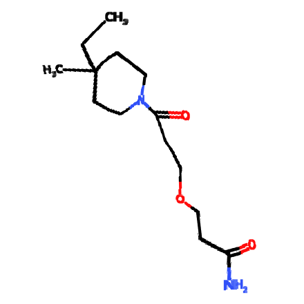 CCC1(C)CCN(C(=O)CCOCCC(N)=O)CC1